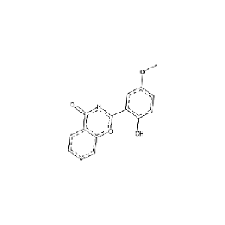 COc1ccc(O)c(-c2nc(=O)c3ccccc3o2)c1